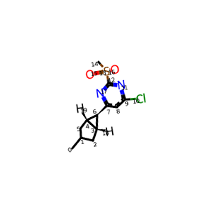 CC1C[C@@H]2[C@H](C1)[C@H]2c1cc(Cl)nc(S(C)(=O)=O)n1